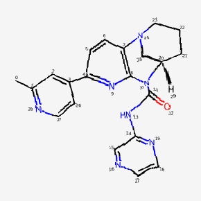 Cc1cc(-c2ccc3c(n2)N(C(=O)Nc2cnccn2)[C@H]2CCCN3C2)ccn1